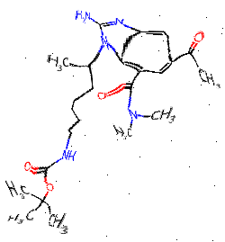 CC(=O)c1cc(C(=O)N(C)C)c2c(c1)nc(N)n2[C@H](C)CCCCNC(=O)OC(C)(C)C